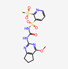 COc1nc(NC(=O)NS(=O)(=O)c2cccnc2S(C)(=O)=O)nc2c1CCC2